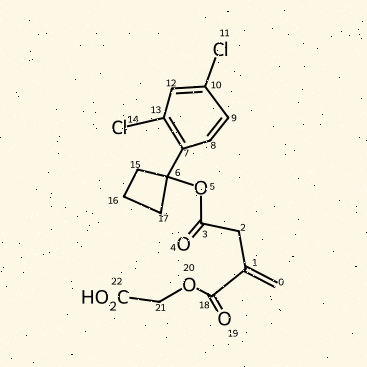 C=C(CC(=O)OC1(c2ccc(Cl)cc2Cl)CCC1)C(=O)OCC(=O)O